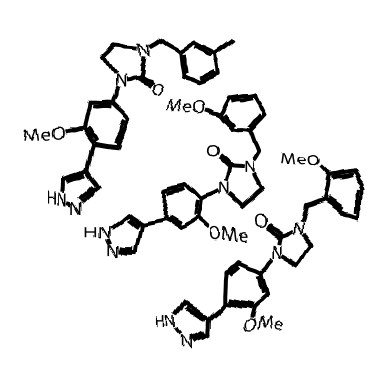 COc1cc(N2CCN(Cc3cccc(C)c3)C2=O)ccc1-c1cn[nH]c1.COc1cccc(CN2CCN(c3ccc(-c4cn[nH]c4)cc3OC)C2=O)c1.COc1ccccc1CN1CCN(c2ccc(-c3cn[nH]c3)c(OC)c2)C1=O